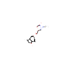 CC1CC(=O)c2ccc(OCC3CN(C(C)C)C(=O)CO3)cc21